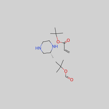 C=CC(=O)OC(C)(C)C.CC(C)(C)OC=O.C[C@@H]1CNCCN1